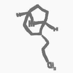 CCC[C@@H]1CC[C@@H]2CC[C@H]1N2